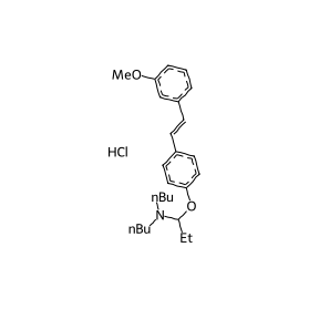 CCCCN(CCCC)C(CC)Oc1ccc(/C=C/c2cccc(OC)c2)cc1.Cl